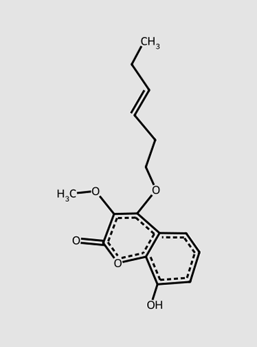 CCC=CCCOc1c(OC)c(=O)oc2c(O)cccc12